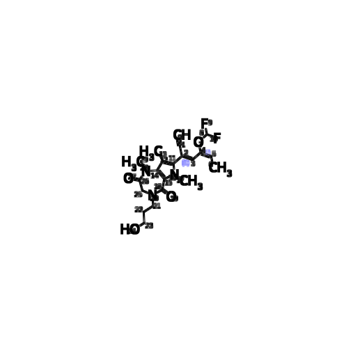 C#C/C(=C\C(=C/C)OC(F)F)c1c(C)c2c(n1C)C(=O)N(CCCO)CC(=O)N2C